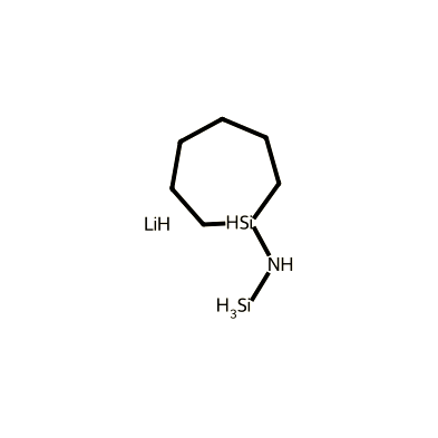 [LiH].[SiH3]N[SiH]1CCCCCC1